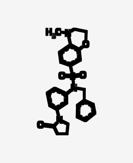 CN1CCOc2cc(S(=O)(=O)N(Cc3ccccc3)c3cccc(N4CCCC4=O)c3)ccc21